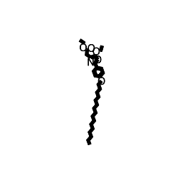 CCCCCCCCCCCCCCCCOc1ccc(-c2nc(CC(=O)OCC)c(OCC)o2)cc1